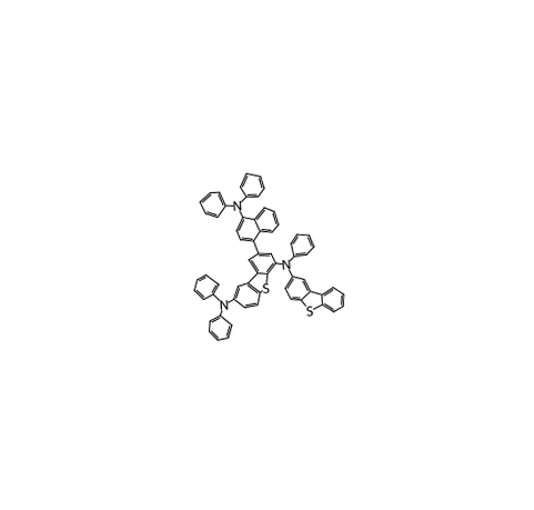 c1ccc(N(c2ccccc2)c2ccc3sc4c(N(c5ccccc5)c5ccc6sc7ccccc7c6c5)cc(-c5ccc(N(c6ccccc6)c6ccccc6)c6ccccc56)cc4c3c2)cc1